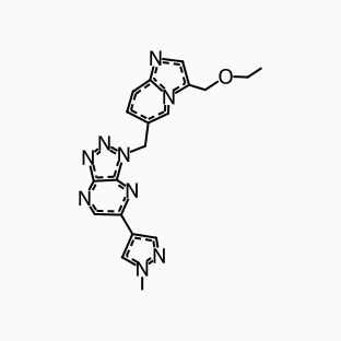 CCOCc1cnc2ccc(Cn3nnc4ncc(-c5cnn(C)c5)nc43)cn12